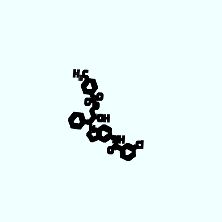 Cc1ccc(S(=O)(=O)OC[C@@H](O)[C@H](c2ccccc2)N2CCc3cc(NC(=O)c4cccc(Cl)c4)ccc32)cc1